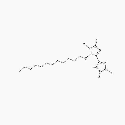 CCCCCCCCCCCCSc1c(-c2sc(C)c(F)c2C)sc(C)c1F